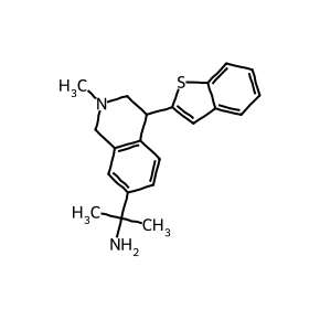 CN1Cc2cc(C(C)(C)N)ccc2C(c2cc3ccccc3s2)C1